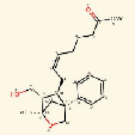 COC(=O)CCC/C=C\C[C@@H]1[C@@H](CO)[C@H]2C[C@]1(c1ccccc1)CO2